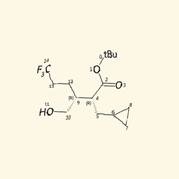 CC(C)(C)OC(=O)[C@H](CC1CC1)[C@H](CO)CCC(F)(F)F